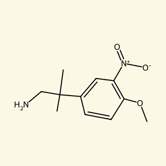 COc1ccc(C(C)(C)CN)cc1[N+](=O)[O-]